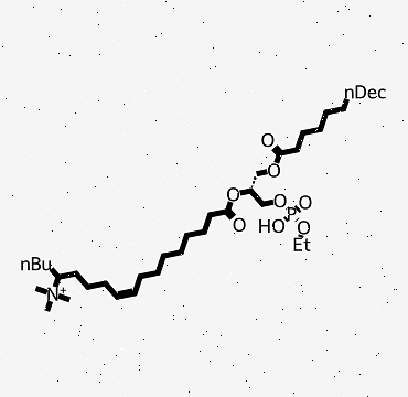 CCCCCCCCCCCCCCCC(=O)OC[C@H](COP(=O)(O)OCC)OC(=O)CCCCCCC/C=C\CCCC(CCCC)[N+](C)(C)C